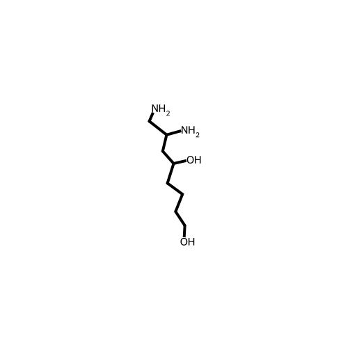 NCC(N)CC(O)CCCCO